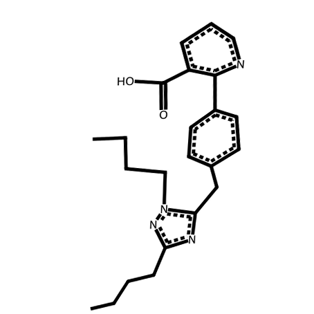 CCCCc1nc(Cc2ccc(-c3ncccc3C(=O)O)cc2)n(CCCC)n1